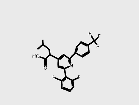 CC(C)CC(C(=O)O)c1cc(-c2ccc(C(F)(F)F)cc2)nc(-c2c(F)cccc2F)c1